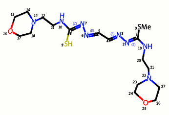 CS\C(=N/N=C/C=N/N=C(\S)NCCN1CCOCC1)NCCN1CCOCC1